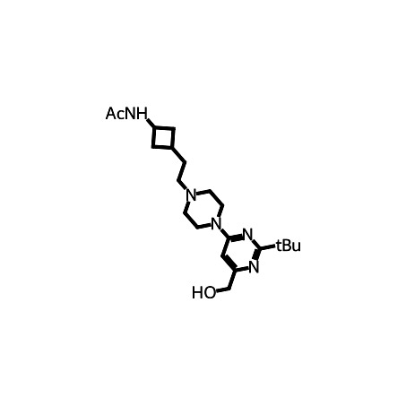 CC(=O)NC1CC(CCN2CCN(c3cc(CO)nc(C(C)(C)C)n3)CC2)C1